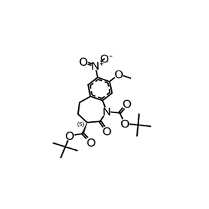 COc1cc2c(cc1[N+](=O)[O-])CC[C@H](C(=O)OC(C)(C)C)C(=O)N2C(=O)OC(C)(C)C